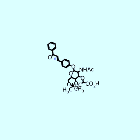 CC(=O)NC1C(Oc2ccc(/C=C/C(=O)c3ccccc3)cc2)OC2COC(C)(C)OC2C1OC(C)C(=O)O